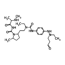 CCN(CCC=O)Nc1ccc(NC(=O)N(CC)CCC2CCC(C)N2C(=O)NC(=O)C(C)NC)cc1